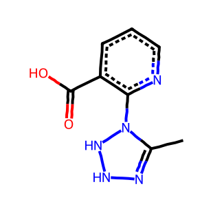 CC1=NNNN1c1ncccc1C(=O)O